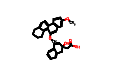 COc1ccc2c(c1)cc(OC)c1c3c(ccc12)CCCC3.O=C(O)CC1(O)C=Cc2ccccc2C1